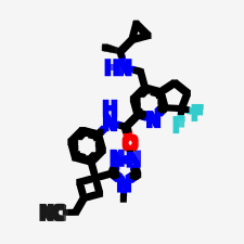 C[C@H](NCc1cc(C(=O)Nc2cccc(C3(c4nncn4C)CC(CC#N)C3)c2)nc2c1CCC2(F)F)C1CC1